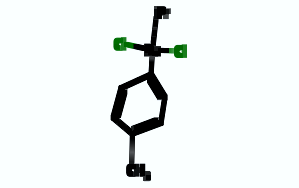 Cc1cc[c]([Ru]([Cl])([Cl])[CH](C)C)cc1